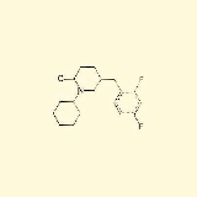 O=C1CCC(Cc2ccc(F)cc2F)CN1C1CCCCC1